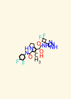 Cc1c(C(O)C(=O)NC2(c3c[nH]nn3)CC(F)(F)C2)c2n(c1C(=O)Nc1ccc(F)c(F)c1)CCC2